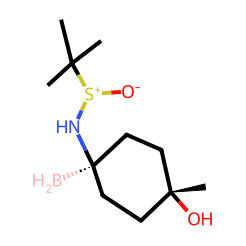 B[C@]1(N[S+]([O-])C(C)(C)C)CC[C@](C)(O)CC1